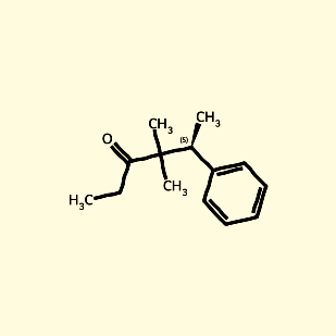 CCC(=O)C(C)(C)[C@@H](C)c1ccccc1